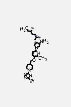 C=CC(F)C/C=C(/F)C[C@H]1CN(c2ccc(OCC3CCN(c4nc(C(C)C)no4)CC3)c(C)n2)C[C@@H]1N